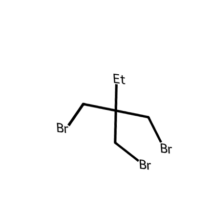 CCC(CBr)(CBr)CBr